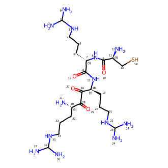 NC(N)NCCC[C@H](NC(=O)[C@@H](N)CS)C(=O)N[C@@H](CCCNC(N)N)C(=O)C(=O)[C@@H](N)CCCNC(N)N